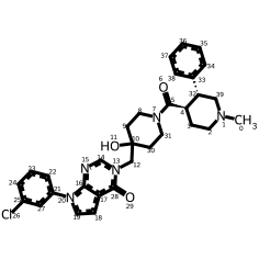 CN1CC[C@@H](C(=O)N2CCC(O)(Cn3cnc4c(ccn4-c4cccc(Cl)c4)c3=O)CC2)[C@H](c2ccccc2)C1